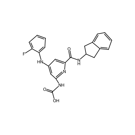 O=C(O)Nc1cc(Nc2ccccc2F)cc(C(=O)NC2Cc3ccccc3C2)n1